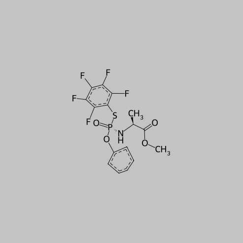 COC(=O)[C@H](C)N[P@@](=O)(Oc1ccccc1)Sc1c(F)c(F)c(F)c(F)c1F